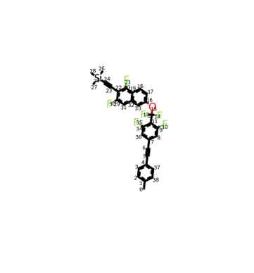 Cc1ccc(C#Cc2cc(F)c(C(F)(F)Oc3ccc4c(F)c(C#C[Si](C)(C)C)c(F)cc4c3)c(F)c2)cc1